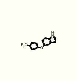 FC(F)(F)c1ccc(Oc2ccc3[nH]ccc3c2)cc1